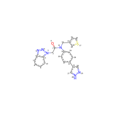 O=C(Cn1nnc2ccccc21)N(Cc1ccsc1)c1ccc(-c2cn[nH]c2)cc1